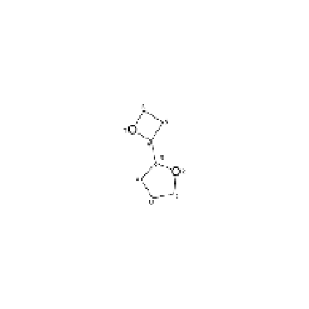 C1CO[C](C2CCO2)C1